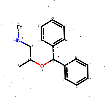 CCNCC(C)OC(c1ccccc1)c1ccccc1